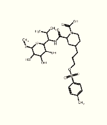 CSC1OC(C(NC(=O)C2CC(CCCOS(=O)(=O)c3ccc(C)cc3)CCN2C(=O)O)C(C)C)C(O)C(O)C1O